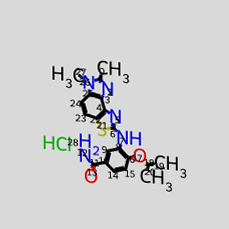 Cc1nc2c3nc(Nc4cc(C(N)=O)ccc4OC(C)C)sc3ccc2n1C.Cl